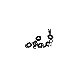 N#Cc1ccc(Oc2ccc(CN3CCC(N4C(=O)N(C5CCOCC5)C[C@H]4c4ccccc4)CC3)cn2)cc1